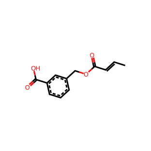 CC=CC(=O)OCc1cccc(C(=O)O)c1